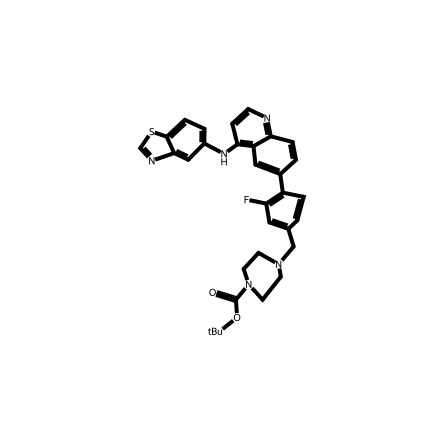 CC(C)(C)OC(=O)N1CCN(Cc2ccc(-c3ccc4nccc(Nc5ccc6scnc6c5)c4c3)c(F)c2)CC1